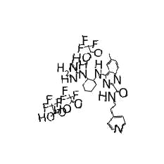 Cc1ccc2nc(C(=O)NCCc3ccncc3)nc(NC3CCCCC3NC(=N)N)c2c1.O=C(O)C(F)(F)F.O=C(O)C(F)(F)F.O=C(O)C(F)(F)F